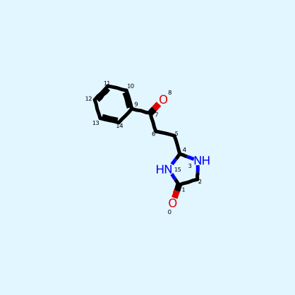 O=C1CNC(CCC(=O)c2ccccc2)N1